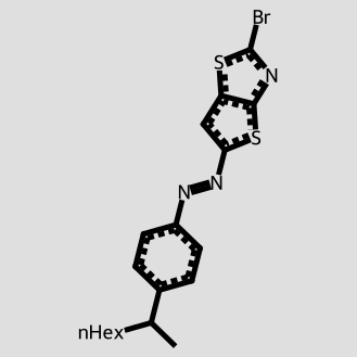 CCCCCCC(C)c1ccc(N=Nc2cc3sc(Br)nc3s2)cc1